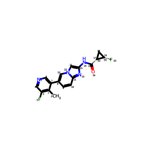 Cc1c(F)cncc1-c1ccc2nc(NC(=O)[C@@H]3C[C@@H]3F)cn2c1